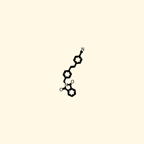 N#Cc1ccc(C=Cc2ccc(CN3C(=O)c4ccccc4C3=O)cc2)cc1